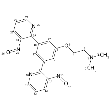 CN(C)CCOc1cc(-c2ncccc2N=O)cc(-c2ncccc2N=O)c1